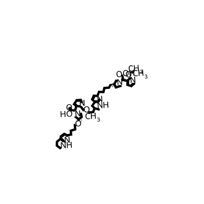 CC(C)Oc1ncccc1[C@@H](C(=O)O)N1CC[C@@H](CCCCCc2ccc3c(n2)NCC(CC(C)OCc2ncccc2C(C(=O)O)N2CC[C@@H](OCCCCc4ccc5c(n4)NCCC5)C2)C3)C1